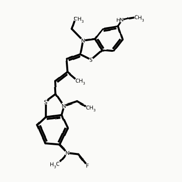 CCN1/C(=C/C(C)=C/C2Sc3ccc(N(C)CF)cc3N2CC)Sc2ccc(NC)cc21